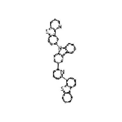 c1cc(-c2ccc3c(c2)c2ccccc2n3-c2ccc3sc4cccnc4c3c2)nc(-c2cccc3c2sc2ccccc23)c1